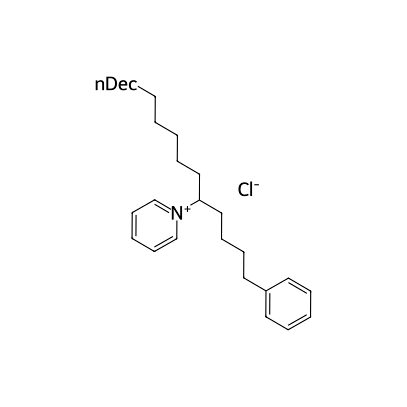 CCCCCCCCCCCCCCCC(CCCCc1ccccc1)[n+]1ccccc1.[Cl-]